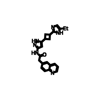 CCc1cnc(C2CC(c3cc(NC(=O)Cc4ccc5ncccc5c4)n[nH]3)C2)[nH]1